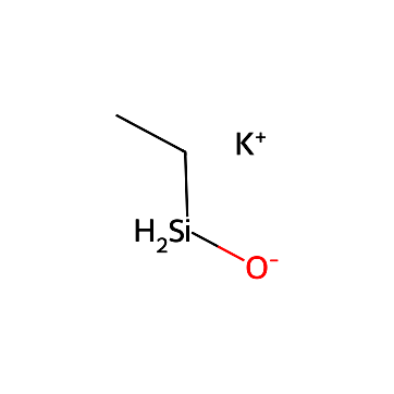 CC[SiH2][O-].[K+]